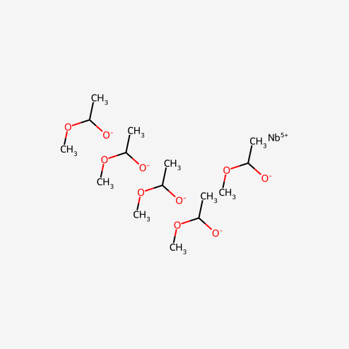 COC(C)[O-].COC(C)[O-].COC(C)[O-].COC(C)[O-].COC(C)[O-].[Nb+5]